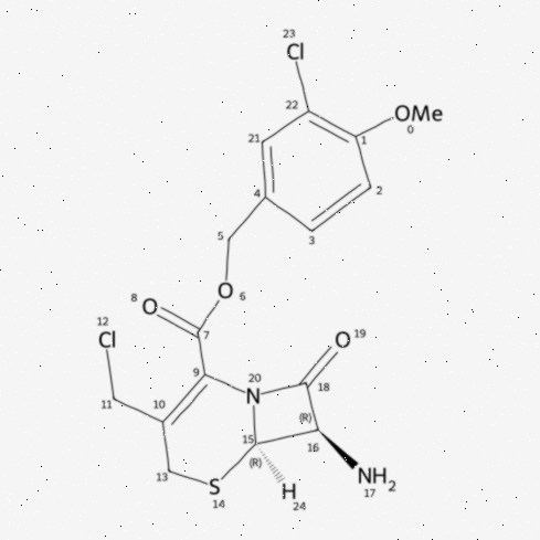 COc1ccc(COC(=O)C2=C(CCl)CS[C@@H]3[C@H](N)C(=O)N23)cc1Cl